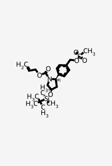 C=CCOC(=O)N1C[C@H](O[Si](C)(C)C(C)(C)C)C[C@@H]1c1ccc(COS(C)(=O)=O)cc1